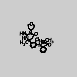 C[C@@]1(c2cccc(Nc3ccccc3S(C)(=O)=O)c2Cl)CC(=O)N(C2CCOCC2)C(=N)N1